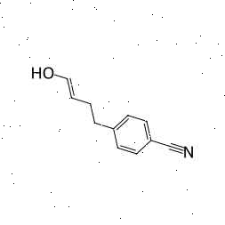 N#Cc1ccc(CCC=CO)cc1